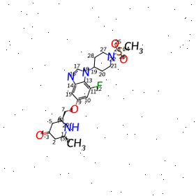 C[C@H]1CC(=O)C[C@@H](COc2cc(F)c3c(c2)ncn3C2CCN(S(C)(=O)=O)CC2)N1